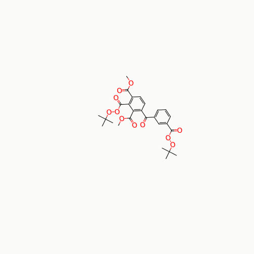 COC(=O)c1ccc(C(=O)c2cccc(C(=O)OOC(C)(C)C)c2)c(C(=O)OC)c1C(=O)OOC(C)(C)C